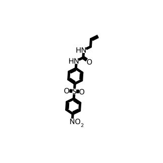 C=CCNC(=O)Nc1ccc(S(=O)(=O)c2ccc([N+](=O)[O-])cc2)cc1